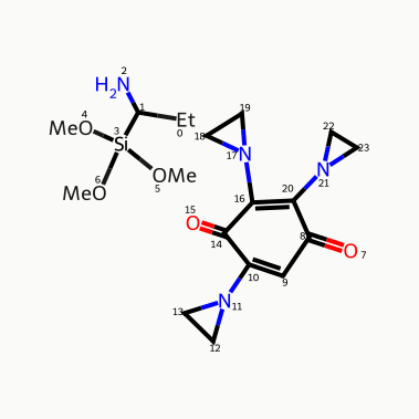 CCC(N)[Si](OC)(OC)OC.O=C1C=C(N2CC2)C(=O)C(N2CC2)=C1N1CC1